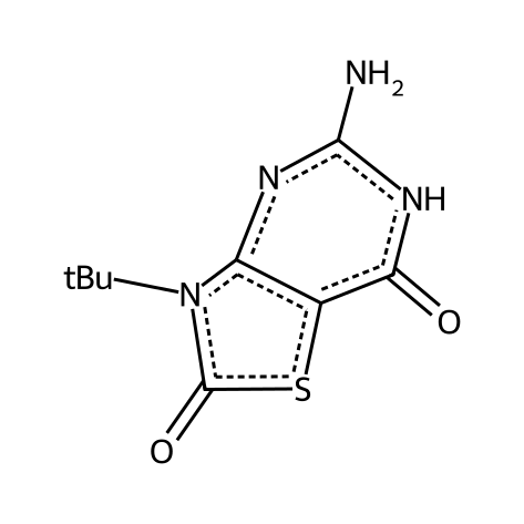 CC(C)(C)n1c(=O)sc2c(=O)[nH]c(N)nc21